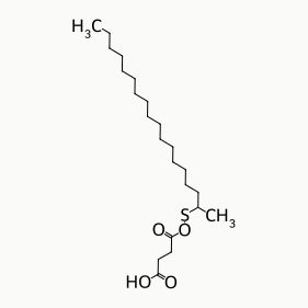 CCCCCCCCCCCCCCCCC(C)SOC(=O)CCC(=O)O